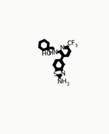 Nc1nc2[c]c(-c3ccc(C(F)(F)F)nc3NCC3(O)CCCCC3)ccc2s1